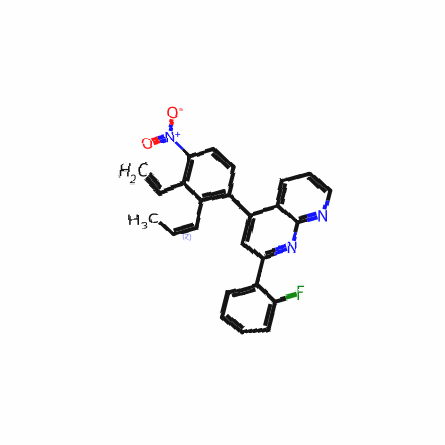 C=Cc1c([N+](=O)[O-])ccc(-c2cc(-c3ccccc3F)nc3ncccc23)c1/C=C\C